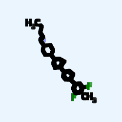 CCC/C=C/C1CCC(c2ccc(-c3ccc(-c4cc(F)c(C)c(F)c4)cc3)cc2)CC1